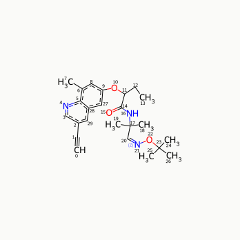 C#Cc1cnc2c(C)cc(OC(CC)C(=O)NC(C)(C)/C=N\OC(C)(C)C)cc2c1